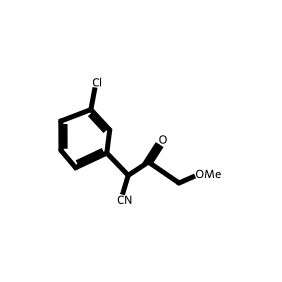 COCC(=O)C(C#N)c1cccc(Cl)c1